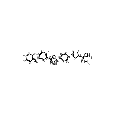 CN(C)C1CCN(c2ccc(-c3nnc(-c4cccc(Oc5ccccc5)c4)o3)cc2)C1